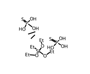 CC.CC.CCO[Si](CC)(OCC)OCC.OP(O)(O)=S.OP(O)(O)=S